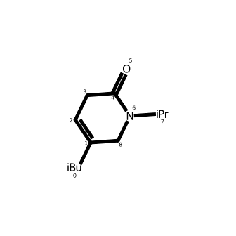 CCC(C)C1=CCC(=O)N(C(C)C)C1